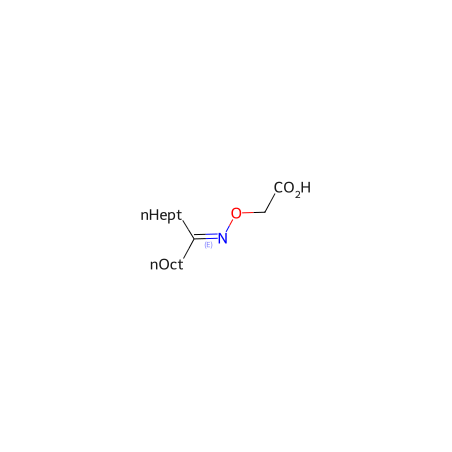 CCCCCCCC/C(CCCCCCC)=N/OCC(=O)O